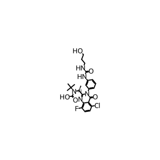 C[C@@H](c1nc2c(F)ccc(Cl)c2c(=O)n1-c1cccc(NC(=O)NCCCO)c1)N(C(=O)O)C(C)(C)C